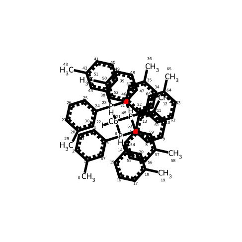 Cc1cccc([PH](c2cccc(C)c2)(c2cccc(C)c2)[Co]([I])([PH](c2cccc(C)c2)(c2cccc(C)c2)c2cccc(C)c2)[PH](c2cccc(C)c2)(c2cccc(C)c2)c2cccc(C)c2)c1